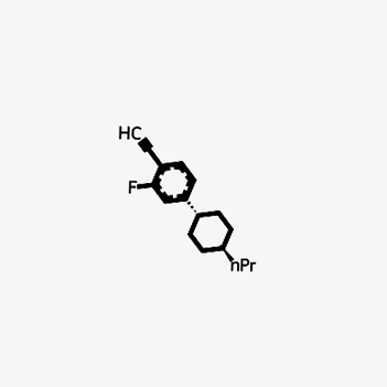 C#Cc1ccc([C@H]2CC[C@H](CCC)CC2)cc1F